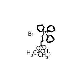 CC(C)(C)OC(=O)C=CC[P+](c1ccccc1)(c1ccccc1)c1ccccc1.[Br-]